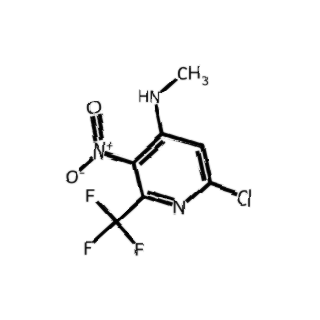 CNc1cc(Cl)nc(C(F)(F)F)c1[N+](=O)[O-]